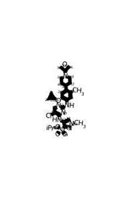 Cc1cc(Nc2ncc(Cl)c(Nc3cn(C)nc3S(=O)(=O)OC(C)C)n2)c(OC2CC2)cc1C1CCN(C2COC2)CC1